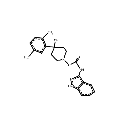 Cc1ccc(C)c(C2(O)CCN(OC(=O)Nc3n[nH]c4ccccc34)CC2)c1